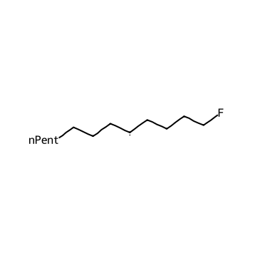 CCCCCCCC[CH]CCCCF